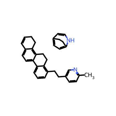 C1=CC2=CC=C(CC2)N1.Cc1ccc(CCc2cccc3c2CCc2c-3ccc3c2CCC=C3)cn1